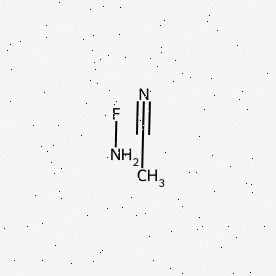 CC#N.NF